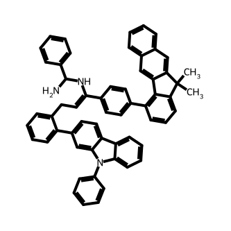 CC1(C)c2cc3ccccc3cc2-c2c(-c3ccc(/C(=C/Cc4ccccc4-c4ccc5c6ccccc6n(-c6ccccc6)c5c4)NC(N)c4ccccc4)cc3)cccc21